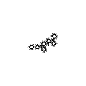 c1ccc(-c2ccc(-n3c4ccccc4c4c5oc6c(ccc7c6c6ccccc6n7-c6ccccc6)c5ccc43)cc2)cc1